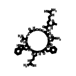 CC(=O)NC(CCCNC(=N)N)C(=O)NC1CCCNC(=O)CCC(C(N)=O)NC(=O)[C@H](Cc2c[nH]c3ccccc23)NC(=O)[C@H](CCCNC(=N)N)NC(=O)C(Cc2ccccc2)NC(=O)[C@H](CC(N)=O)NC1=O